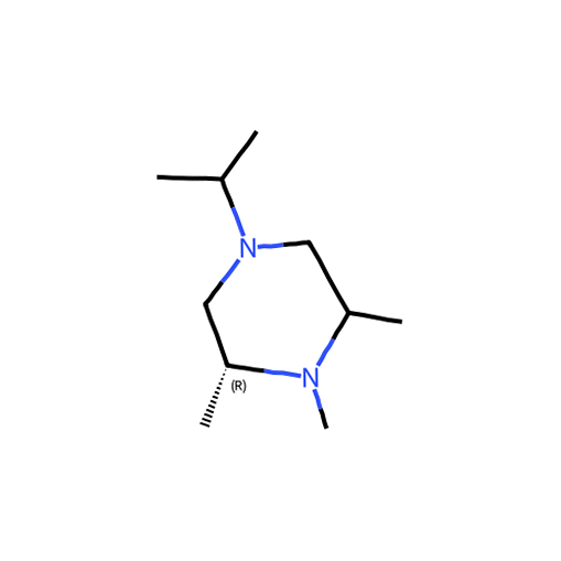 CC(C)N1CC(C)N(C)[C@H](C)C1